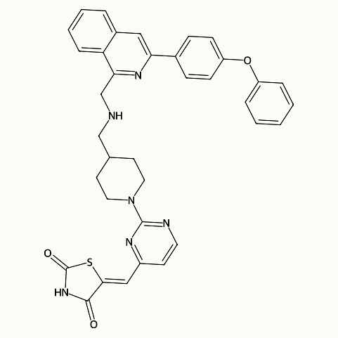 O=C1NC(=O)C(=Cc2ccnc(N3CCC(CNCc4nc(-c5ccc(Oc6ccccc6)cc5)cc5ccccc45)CC3)n2)S1